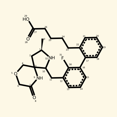 C[C@@H]1CC2(COCC(=O)N2)C(Cc2cccc(-c3ccccc3CCCCC(=O)O)c2F)N1